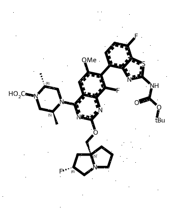 COc1cc2c(N3C[C@@H](C)N(C(=O)O)C[C@@H]3C)nc(OC[C@@]34CCCN3C[C@H](F)C4)nc2c(F)c1-c1ccc(F)c2sc(NC(=O)OC(C)(C)C)nc12